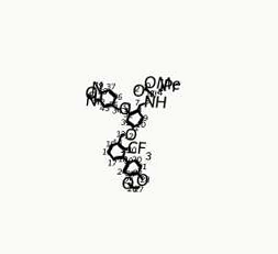 COC(=O)[C@H](CC(C)C)NCc1ccc(OCc2cccc(-c3ccc4c(c3)OCCO4)c2C(F)(F)F)cc1OCc1ccc2nonc2c1